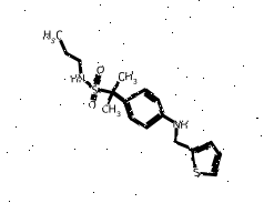 CCCNS(=O)(=O)C(C)(C)c1ccc(NCc2cccs2)cc1